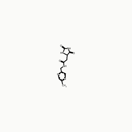 Cc1cnc(CNC(=O)CC2NC(=O)NC2=O)cn1